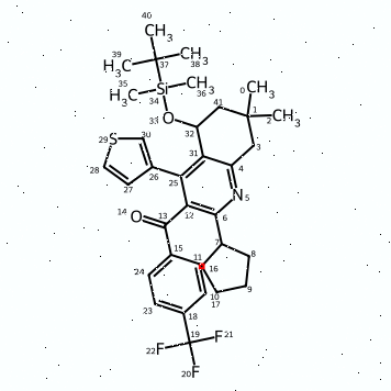 CC1(C)Cc2nc(C3CCCC3)c(C(=O)c3ccc(C(F)(F)F)cc3)c(-c3ccsc3)c2C(O[Si](C)(C)C(C)(C)C)C1